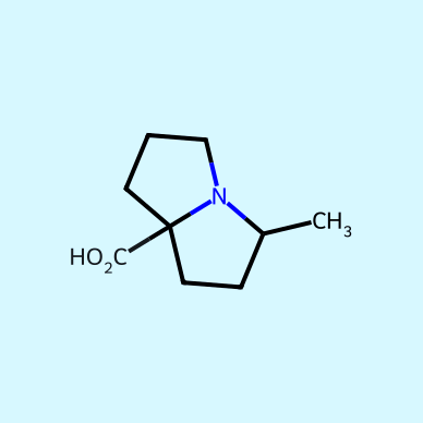 CC1CCC2(C(=O)O)CCCN12